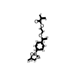 C=C(C)C(=O)OCCOC(=C)c1ccc(B2OCC(C)O2)cc1